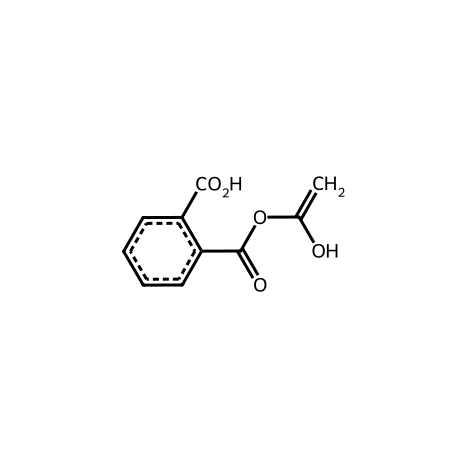 C=C(O)OC(=O)c1ccccc1C(=O)O